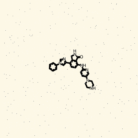 O=C1NCc2c(-c3cn(-c4ccccc4)cn3)ccc(Nc3ccc(N4CCNCC4)cn3)c21